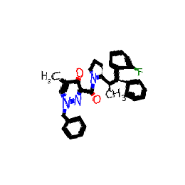 Cc1cn(Cc2ccccc2)nc(C(=O)N2CCC[C@@H]2[C@H](C)[C@H](c2ccccc2)c2ccccc2F)c1=O